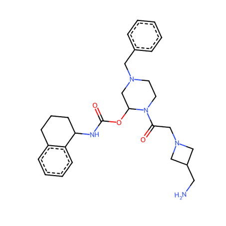 NCC1CN(CC(=O)N2CCN(Cc3ccccc3)CC2OC(=O)NC2CCCc3ccccc32)C1